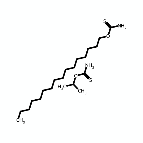 CC(C)OC(N)=S.CCCCCCCCCCCCCCCCOC(N)=S